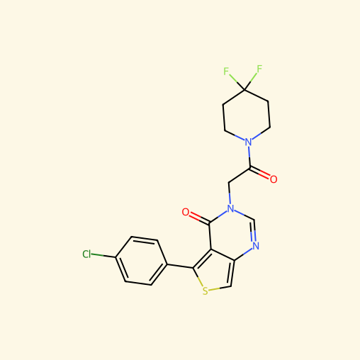 O=C(Cn1cnc2csc(-c3ccc(Cl)cc3)c2c1=O)N1CCC(F)(F)CC1